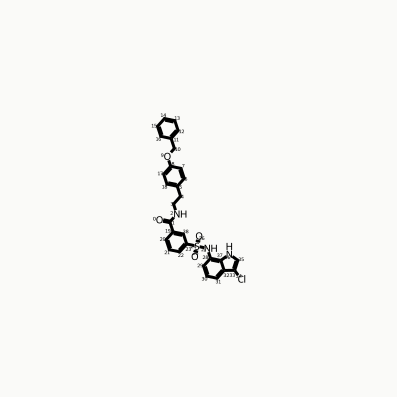 O=C(NCCc1ccc(OCc2ccccc2)cc1)c1cccc(S(=O)(=O)Nc2cccc3c(Cl)c[nH]c23)c1